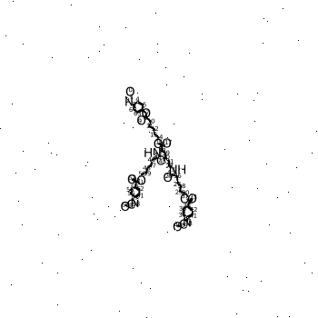 O=C=Nc1ccc(OC(=O)CCCCCOC(=O)C(CCCCNC(=O)CCCCCOC(=O)c2ccc(N=C=O)cc2)NC(=O)CCCCCOC(=O)c2ccc(N=C=O)cc2)cc1